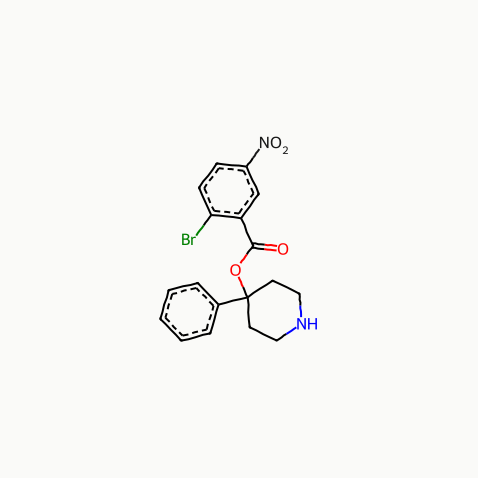 O=C(OC1(c2ccccc2)CCNCC1)c1cc([N+](=O)[O-])ccc1Br